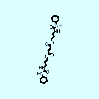 O=C(NCCCOC(=O)/C=C/C(=O)OCCCNC(=O)NC1CCCCC1)NC1CCCCC1